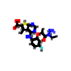 CCN(N)C(=O)C(C)Oc1cc(F)ccc1Nc1ncnc2sc(C(=O)O)c(C)c12